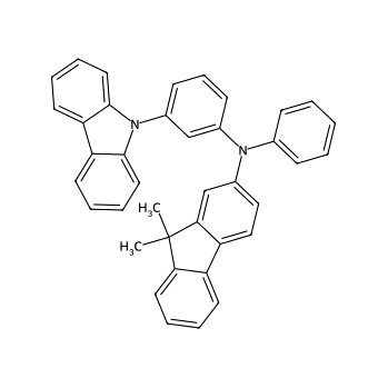 CC1(C)c2ccccc2-c2ccc(N(c3ccccc3)c3cccc(-n4c5ccccc5c5ccccc54)c3)cc21